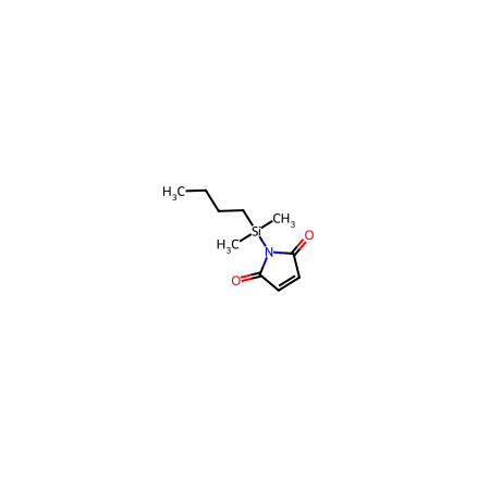 CCCC[Si](C)(C)N1C(=O)C=CC1=O